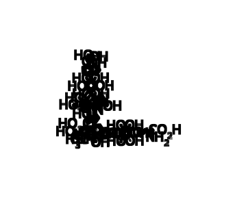 C[C@]12CCC(=O)C=C1CC[C@@H]1[C@@H]2[C@@H](O)C[C@@]2(C)[C@H]1CC[C@]2(O)C(=O)CO.NC(CCO)C(=O)O.O=C(O)C1CCCN1O.O=P(O)(O)O.OC[C@H]1O[C@@H](n2cnc3c(O)ncnc32)[C@H](O)[C@@H]1O.O[C@H]1[C@H](O)[C@@H](O)[C@H](O)[C@@H](O)[C@H]1O.O[C@H]1[C@H](O)[C@@H](O)[C@H](O)[C@@H](O)[C@H]1O.c1ccc2[nH]ccc2c1